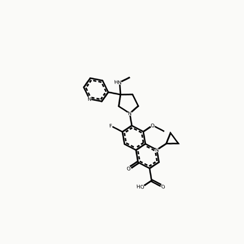 CNC1(c2cccnc2)CCN(c2c(F)cc3c(=O)c(C(=O)O)cn(C4CC4)c3c2OC)C1